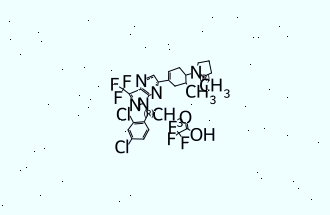 CC1CC(c2cnc3c(C(F)(F)F)nn([C@H](C)c4ccc(Cl)cc4Cl)c3n2)=CCC1N1CCC[C@H]1C.O=C(O)C(F)(F)F